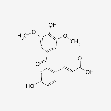 COc1cc(C=O)cc(OC)c1O.O=C(O)C=Cc1ccc(O)cc1